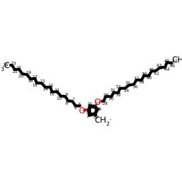 [CH2]c1cc(OCCCCCCCCCCCCCCCCCCCC)cc(OCCCCCCCCCCCCCCCCCCCC)c1